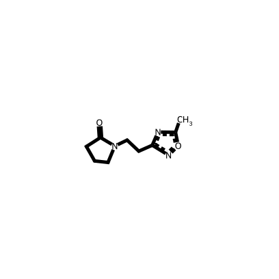 Cc1nc(CCN2CCCC2=O)no1